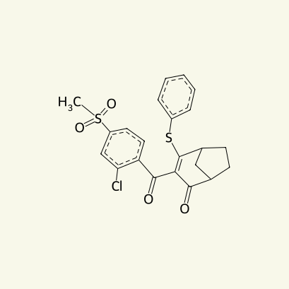 CS(=O)(=O)c1ccc(C(=O)C2=C(Sc3ccccc3)C3CCC(C3)C2=O)c(Cl)c1